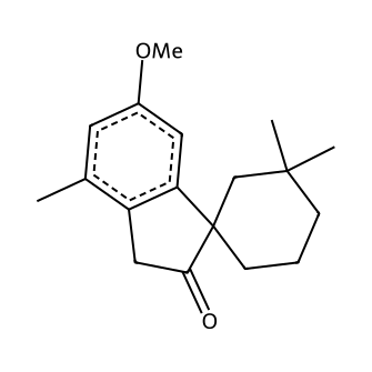 COc1cc(C)c2c(c1)C1(CCCC(C)(C)C1)C(=O)C2